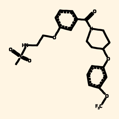 CS(=O)(=O)NCCOc1cccc(C(=O)N2CCC(Oc3cccc(OC(F)(F)F)c3)CC2)c1